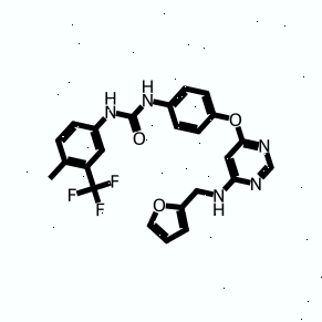 Cc1ccc(NC(=O)Nc2ccc(Oc3cc(NCc4ccco4)ncn3)cc2)cc1C(F)(F)F